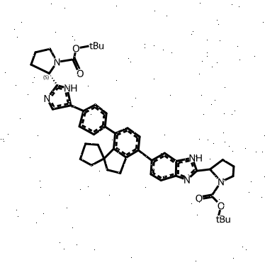 CC(C)(C)OC(=O)N1CCCC1c1nc2ccc(-c3ccc(-c4ccc(-c5cnc([C@@H]6CCCN6C(=O)OC(C)(C)C)[nH]5)cc4)c4c3CCC43CCCC3)cc2[nH]1